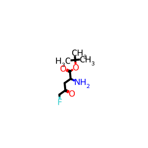 CC(C)(C)OC(=O)C(N)CC(=O)CF